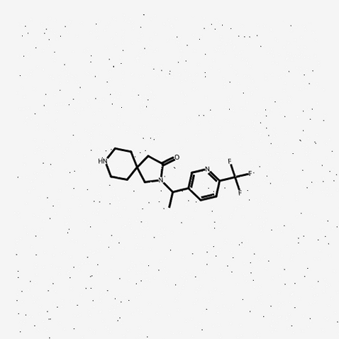 CC(c1ccc(C(F)(F)F)nc1)N1CC2(CCNCC2)CC1=O